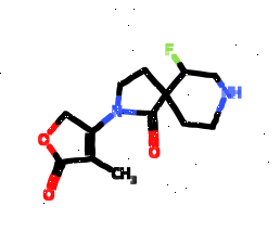 CC1=C(N2CCC3(CCNCC3F)C2=O)COC1=O